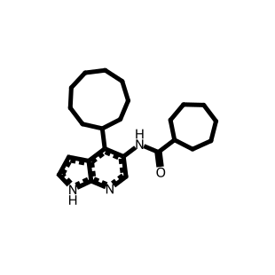 O=C(Nc1cnc2[nH]ccc2c1C1CCCCCCCC1)C1CCCCCC1